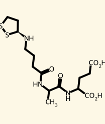 CC(NC(=O)CCCN[C@@H]1CCSS1)C(=O)NC(CCC(=O)O)C(=O)O